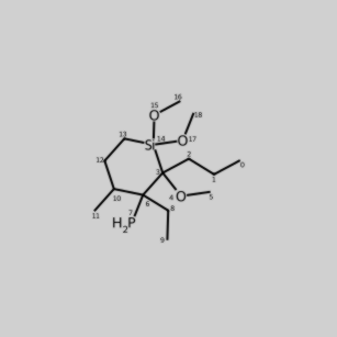 CCCC1(OC)C(P)(CC)C(C)CC[Si]1(OC)OC